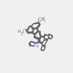 Cc1cc2cc(C)cc3c4cc5c(cc4c(c1)c23)c(-c1ccccn1)c1c2ccccc2c2c3ccccc3cc5c12